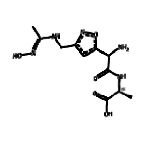 CC(=NO)NCc1cc(C(N)C(=O)N[C@@H](C)C(=O)O)on1